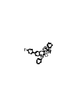 CC1(NS(=O)(=O)c2ccccc2)Cc2cc(-c3ccc(F)cc3)ccc2N(Cc2ccccc2)C1=O